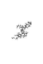 C/C(=N/Sc1ccc(C(F)(F)F)cc1)N1CC(c2ccccc2)C(c2ccc(C)cc2)=N1